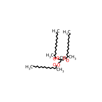 CCCCCCCCCCCCCC(C)C(=O)OCCC(C)(COC(=O)C(C)CCCCCCCCCCCCC)COC(=O)C(C)CCCCCCCCCCCCC